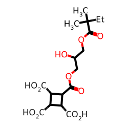 CCC(C)(C)C(=O)OCC(O)COC(=O)C1C(C(=O)O)C(C(=O)O)C1C(=O)O